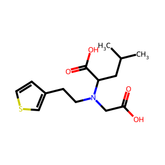 CC(C)CC(C(=O)O)N(CCc1ccsc1)CC(=O)O